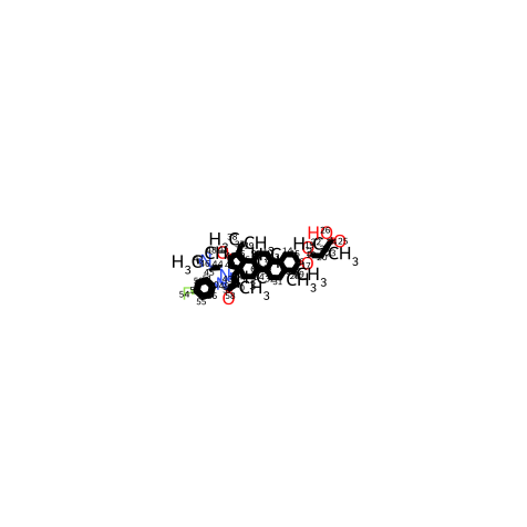 Cc1c(C23CC[C@]4(C)C(CCC5C6(C)CCC(OC(=O)CC(C)(C)C(=O)O)C(C)(C)C6CCC54C)C2=C(C(C)C)C(=O)C3)n(CCN(C)C)n(-c2ccc(F)cc2)c1=O